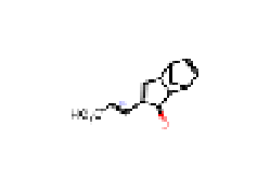 O=C(O)/C=C/C1=CC2C3C=CC(C3)C2C1=O